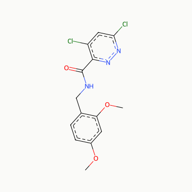 COc1ccc(CNC(=O)c2nnc(Cl)cc2Cl)c(OC)c1